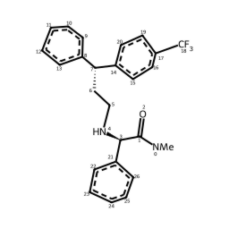 CNC(=O)[C@H](NCC[C@H](c1ccccc1)c1ccc(C(F)(F)F)cc1)c1ccccc1